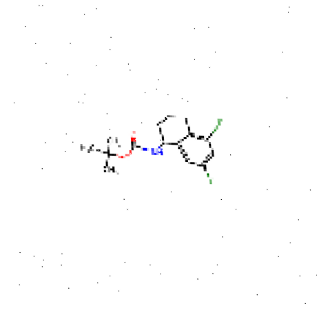 CC(C)(C)OC(=O)NC1CCCc2c(F)cc(F)cc21